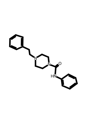 O=C(Nc1ccccc1)N1CCN(CCc2ccccc2)CC1